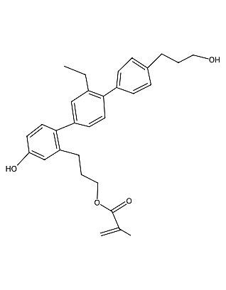 C=C(C)C(=O)OCCCc1cc(O)ccc1-c1ccc(-c2ccc(CCCO)cc2)c(CC)c1